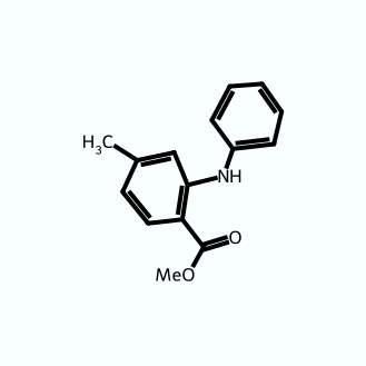 COC(=O)c1ccc(C)cc1Nc1ccccc1